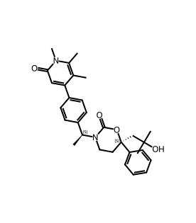 Cc1c(-c2ccc([C@H](C)N3CC[C@](CC(C)(C)O)(c4ccccc4)OC3=O)cc2)cc(=O)n(C)c1C